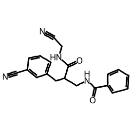 N#CCNC(=O)C(CNC(=O)c1ccccc1)Cc1cccc(C#N)c1